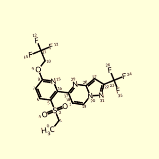 CCS(=O)(=O)c1ccc(OCC(F)(F)F)nc1-c1ccn2nc(C(F)(F)F)cc2n1